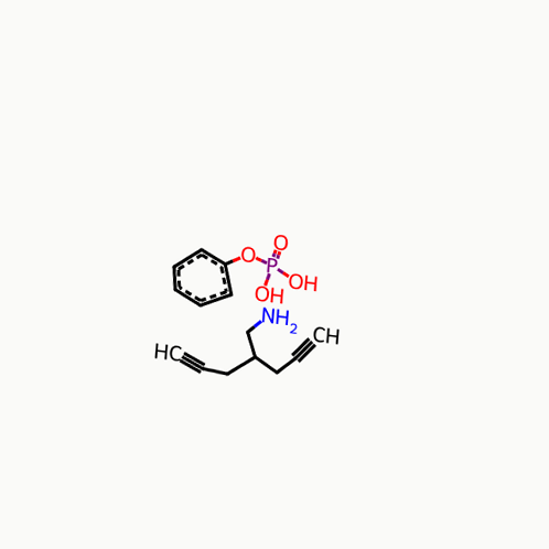 C#CCC(CN)CC#C.O=P(O)(O)Oc1ccccc1